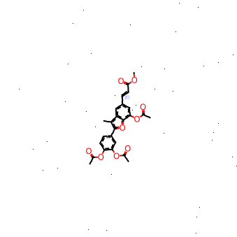 COC(=O)/C=C/c1cc(OC(C)=O)c2oc(-c3ccc(OC(C)=O)c(OC(C)=O)c3)c(C)c2c1